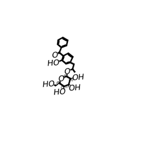 CC(Cc1ccc(C(=O)c2ccccc2)c(O)c1)O[C@@H]1O[C@H](CO)[C@@H](O)[C@H](O)[C@H]1O